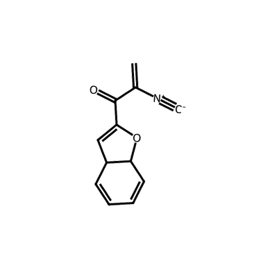 [C-]#[N+]C(=C)C(=O)C1=CC2C=CC=CC2O1